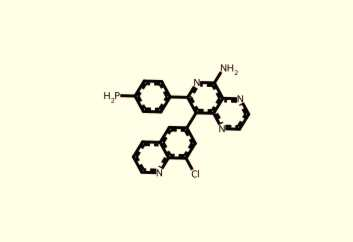 Nc1nc(-c2ccc(P)cc2)c(-c2cc(Cl)c3ncccc3c2)c2nccnc12